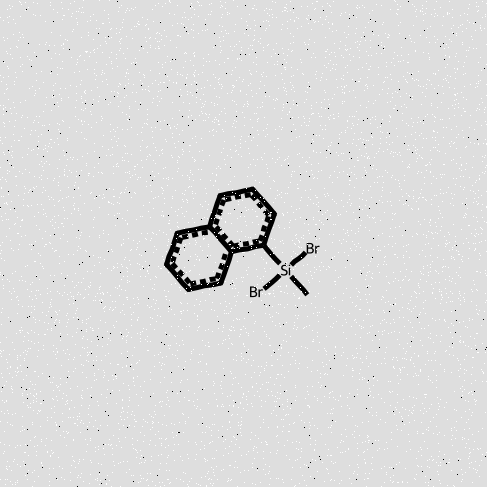 C[Si](Br)(Br)c1cccc2ccccc12